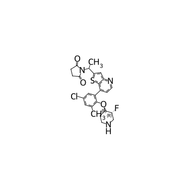 Cc1cc(Cl)cc(-c2ccnc3cc(C(C)N4C(=O)CCC4=O)sc23)c1O[C@@H]1CCNC[C@H]1F